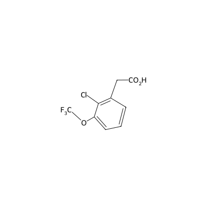 O=C(O)Cc1cccc(OC(F)(F)F)c1Cl